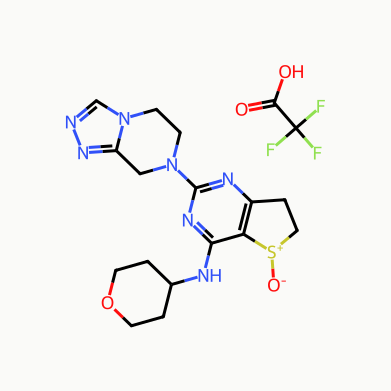 O=C(O)C(F)(F)F.[O-][S+]1CCc2nc(N3CCn4cnnc4C3)nc(NC3CCOCC3)c21